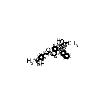 CCOC(=O)C(Nc1ccc2c(c1)CCCN2C(=O)CCc1ccc(C(=N)N)cc1)S(=O)(=O)c1ccc2ccccc2c1